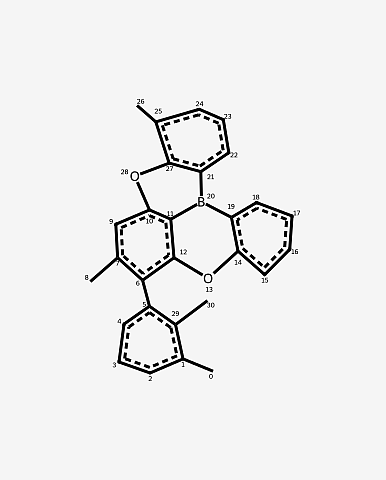 Cc1cccc(-c2c(C)cc3c4c2Oc2ccccc2B4c2cccc(C)c2O3)c1C